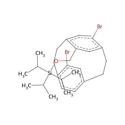 CC(C)[Si](OCc1cc2c(Br)cc1CCc1ccc(cc1Br)CC2)(C(C)C)C(C)C